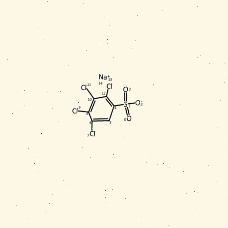 O=S(=O)([O-])c1cc(Cl)c(Cl)c(Cl)c1Cl.[Na+]